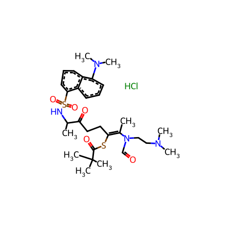 C/C(=C(\CCC(=O)C(C)NS(=O)(=O)c1cccc2c(N(C)C)cccc12)SC(=O)C(C)(C)C)N(C=O)CCN(C)C.Cl